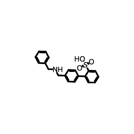 O=S(=O)(O)c1ccccc1-c1ccc(CNCc2ccccc2)cc1